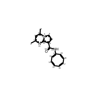 Cc1cc(C)n2ccc(C(=O)NC3=C/C=C\C=C/C=C\3)c2n1